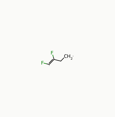 [CH2]C/C(F)=[C]/F